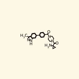 Cc1n[nH]c2cc(-c3ccc(C(=O)N4CCN(C(=O)C5(N)CC5)CC4)cc3)ccc12